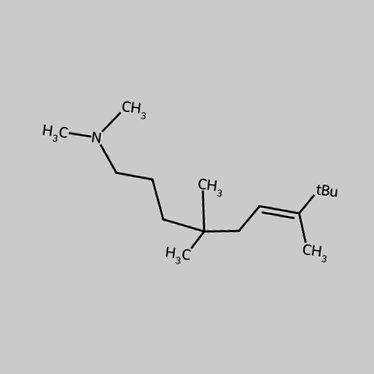 C/C(=C\CC(C)(C)CCCN(C)C)C(C)(C)C